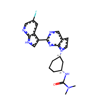 CN(C)C(=O)N[C@@H]1CCC[C@H](n2ccc3cnc(-c4c[nH]c5ncc(F)cc45)nc32)C1